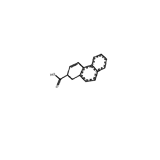 O=C(O)C1C=Cc2c(ccc3ccccc23)C1